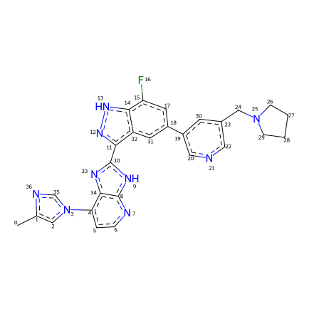 Cc1cn(-c2ccnc3[nH]c(-c4n[nH]c5c(F)cc(-c6cncc(CN7CCCC7)c6)cc45)nc23)cn1